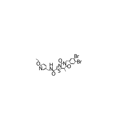 CCOc1ccc(CNC(=O)c2cn3c(=O)n(Cc4ccc(Br)c(Br)c4)c(=O)c(C)c3s2)cn1